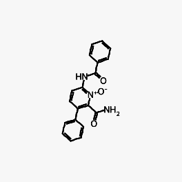 NC(=O)c1c(-c2ccccc2)ccc(NC(=O)c2ccccc2)[n+]1[O-]